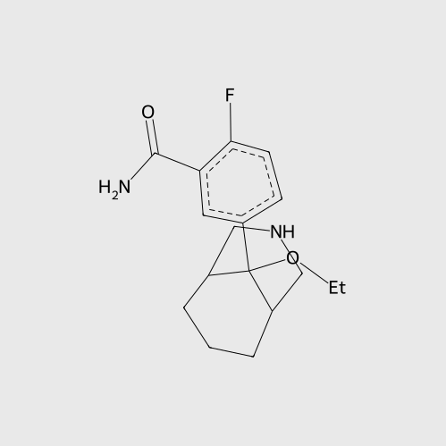 CCOC1(c2ccc(F)c(C(N)=O)c2)C2CCCC1CNC2